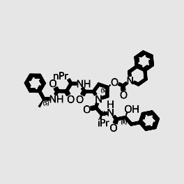 CCCC(NC(=O)C1C[C@H](OC(=O)N2CCc3ccccc3C2)CN1C(=O)[C@@H](NC(=O)[C@H](O)Cc1ccccc1)C(C)C)C(=O)C(=O)N[C@@H](C)c1ccccc1